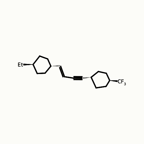 CC[C@H]1CC[C@H](C=CC#C[C@H]2CC[C@H](C(F)(F)F)CC2)CC1